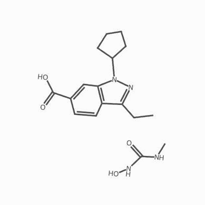 CCc1nn(C2CCCC2)c2cc(C(=O)O)ccc12.CNC(=O)NO